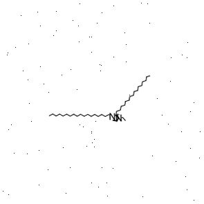 CCCCCCCCCCCCCCCCCC[n+]1ccn(CC)c1CCCCCCCCCCCCCCCC